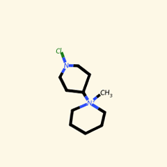 C[N+]1(C2CCN(Cl)CC2)CCCCC1